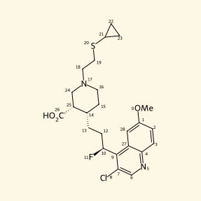 COc1ccc2ncc(Cl)c([C@@H](F)CC[C@H]3CCN(CCSC4CC4)C[C@H]3C(=O)O)c2c1